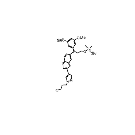 COc1cc(OC)cc(N(CCO[Si](C)(C)C(C)(C)C)c2ccc3ncc(-c4cnn(CCCCl)c4)nc3c2)c1